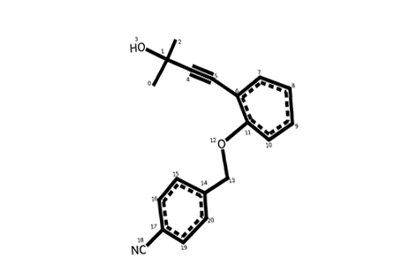 CC(C)(O)C#Cc1ccccc1OCc1ccc(C#N)cc1